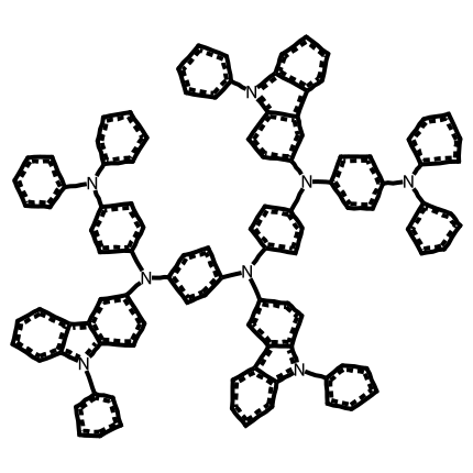 c1ccc(N(c2ccccc2)c2ccc(N(c3ccc(N(c4ccc(N(c5ccc(N(c6ccccc6)c6ccccc6)cc5)c5ccc6c(c5)c5ccccc5n6-c5ccccc5)cc4)c4ccc5c(c4)c4ccccc4n5-c4ccccc4)cc3)c3ccc4c(c3)c3ccccc3n4-c3ccccc3)cc2)cc1